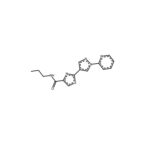 CCCNC(=O)c1csc(-c2cnn(-c3ccccn3)c2)n1